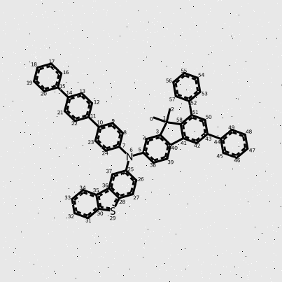 CC1(C)c2cc(N(c3ccc(-c4ccc(-c5ccccc5)cc4)cc3)c3ccc4sc5ccccc5c4c3)ccc2-c2cc(-c3ccccc3)cc(-c3ccccc3)c21